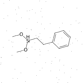 CO[SiH](CCc1ccccc1)OC